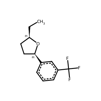 CC[C@@H]1CC[C@H](c2cccc(C(F)(F)F)c2)O1